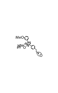 COc1cccc(-c2nc(-c3ccc(CCN4CCOCC4)cc3)nn2CC(=O)NC(C)C)c1